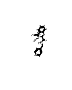 O=C(NCc1ccncc1)c1nc2ccccc2c(=O)n1F